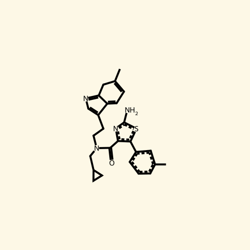 CC1=CC=C2C(CCN(CC3CC3)C(=O)c3nc(N)sc3-c3cccc(C)c3)=CN=C2C1